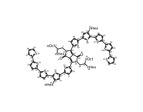 CCCCCCCCC(CCCCCC)CN1C(=O)C2=C(c3ccc(-c4cc(CCCCCC)c(-c5ccc(-c6ccc(-c7cccs7)s6)s5)s4)s3)N(CC(CCCCCC)CCCCCCCC)C(=O)C2=C1c1ccc(-c2cc(CCCCCC)c(-c3ccc(-c4ccc(-c5cccs5)s4)s3)s2)s1